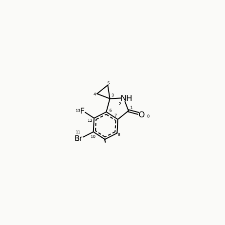 O=C1NC2(CC2)c2c1ccc(Br)c2F